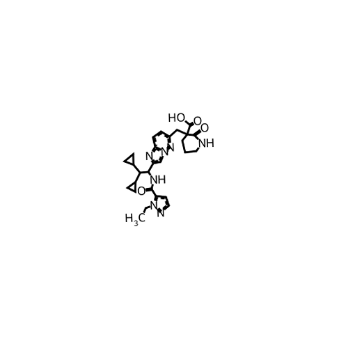 CCn1nccc1C(=O)NC(c1cn2nc(CC3(C(=O)O)CCCNC3=O)ccc2n1)C(C1CC1)C1CC1